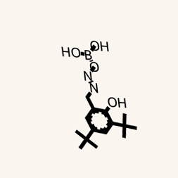 CC(C)(C)c1cc(CN=NOB(O)O)c(O)c(C(C)(C)C)c1